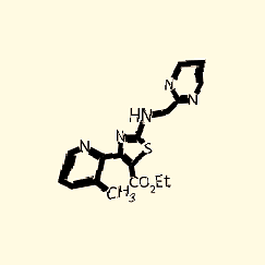 CCOC(=O)c1sc(NCc2ncccn2)nc1-c1ncccc1C